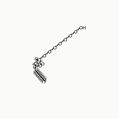 CCC(CC(CC(C)C(=O)OCCC(F)(F)C(F)(F)C(F)(F)C(F)(F)C(F)(F)C(F)(F)C(F)(F)C(F)(F)F)C(=O)OCCCOCCCOCCCOCCCOCCCOCCCOCCCOCCCO)C(=O)O